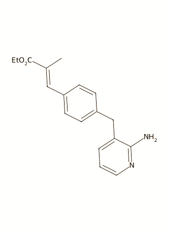 CCOC(=O)/C(C)=C/c1ccc(Cc2cccnc2N)cc1